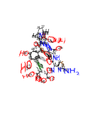 C[C@@H]1S[C@@H]2[C@H](NC(=O)/C(=N\O[C@@H](CC(=O)O)C(=O)O)c3csc(N)n3)C(=O)N2C(C(=O)O)=C1C[N@+]1(C)[C@@H]2CC[C@H]1C[C@@H](NC(=O)C(=O)c1cc(O)c(O)c(F)c1)C2